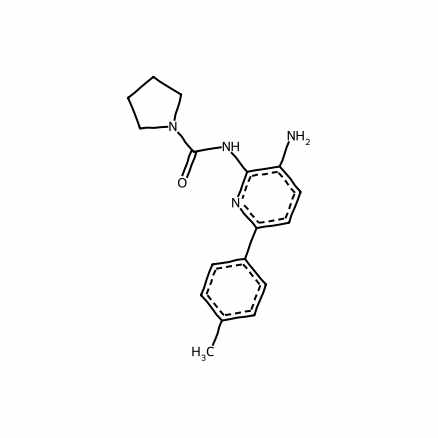 Cc1ccc(-c2ccc(N)c(NC(=O)N3CCCC3)n2)cc1